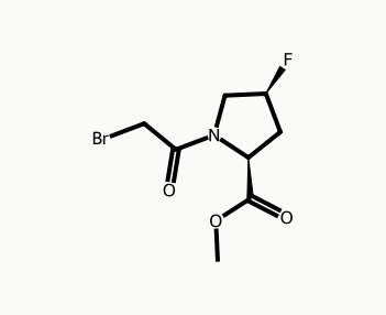 COC(=O)[C@@H]1C[C@H](F)CN1C(=O)CBr